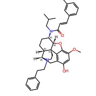 COc1cc(O)c2c3c1O[C@H]1[C@H](N(CC(C)C)C(=O)C=Cc4cccc(C)c4)CC[C@H]4[C@@H](C2)N(CCc2ccccc2)CC[C@@]341